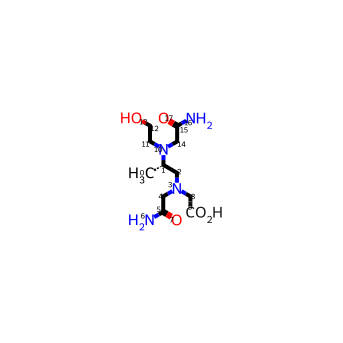 C[C@@H](CN(CC(N)=O)CC(=O)O)N(CCO)CC(N)=O